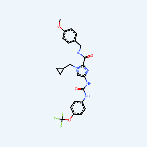 COc1ccc(CNC(=O)c2nc(NC(=O)Nc3ccc(OC(F)(F)F)cc3)cn2CC2CC2)cc1